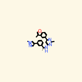 Cc1nc(N[C@H](C)c2cccc(-c3cnn(C)c3)c2)cc(-c2ccc3occ(C)c3c2)n1